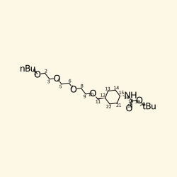 CCCCOCCOCCOCCOC[C@H]1CC[C@H](NC(=O)OC(C)(C)C)CC1